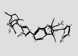 CC1CC2(C)CCN1[C@H](C)C2c1cc(-c2ccc3c(c2)N2CCC3(C)C(c3cccn3C)[C@H]2C)cn1C